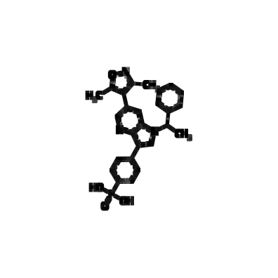 Cc1noc(C)c1-c1cnc2c(-c3ccc(P(=O)(O)O)cc3)cn(C(C)c3ccccc3)c2c1